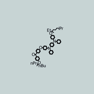 CCCCC(C)(CCC)Oc1ccc(C(=O)c2ccc(Oc3ccc(N(c4ccccc4)c4ccc(N(c5ccccc5)c5ccc(OC(C)(CC)CCCC(C)C)cc5)cc4)cc3)cc2)cc1